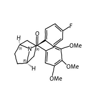 COc1cc(C(=O)N2[C@@H]3CC[C@H]2C[C@@H](c2ccc(F)cc2)C3)cc(OC)c1OC